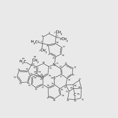 CC1(C)CCC(C)(C)c2cc(N(c3cccc4c3Sc3c(-c5ccccc5)cccc3C43C4CC5CC6CC3C64C5)C3C=CC4=C(C3)C(C)(C)c3ccccc34)ccc21